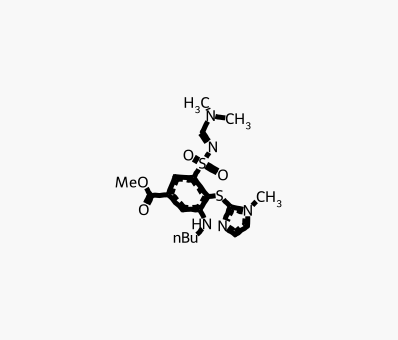 CCCCNc1cc(C(=O)OC)cc(S(=O)(=O)N=CN(C)C)c1Sc1nccn1C